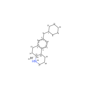 c1cc2c(cc1CC1CCCCC1)CC[C@@H]1NCCCC21